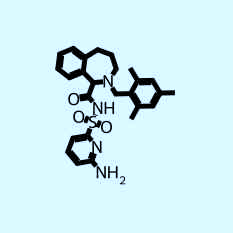 Cc1cc(C)c(CN2CCCc3ccccc3C2C(=O)NS(=O)(=O)c2cccc(N)n2)c(C)c1